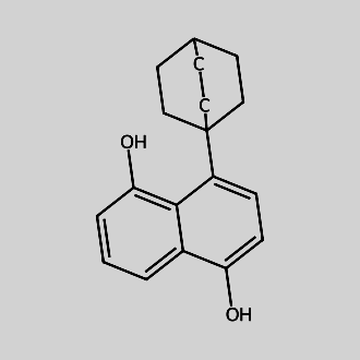 Oc1ccc(C23CCC(CC2)CC3)c2c(O)cccc12